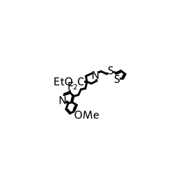 CCOC(=O)C1(CCCc2c(F)cnc3ccc(OC)cc23)CCN(CCSc2cccs2)CC1